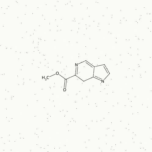 COC(=O)C1=NC=C2C=CN=C2C1